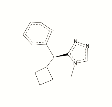 Cn1cnnc1[C@H](c1[c]cccc1)C1CCC1